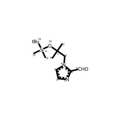 CC(C)(Cn1ccnc1C=O)O[Si](C)(C)C(C)(C)C